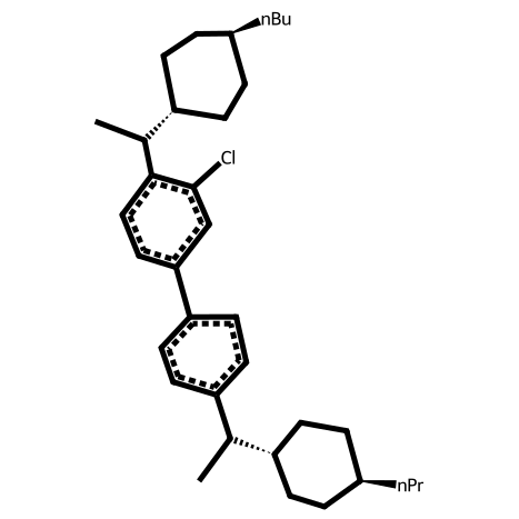 CCCC[C@H]1CC[C@H](C(C)c2ccc(-c3ccc(C(C)[C@H]4CC[C@H](CCC)CC4)cc3)cc2Cl)CC1